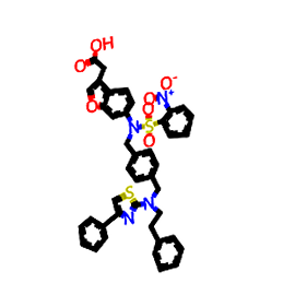 O=C(O)Cc1coc2cc(N(Cc3ccc(CN(CCc4ccccc4)c4nc(-c5ccccc5)cs4)cc3)S(=O)(=O)c3ccccc3[N+](=O)[O-])ccc12